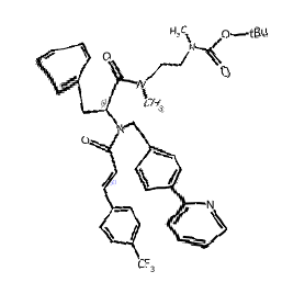 CN(CCN(C)C(=O)[C@H](Cc1ccccc1)N(Cc1ccc(-c2ccccn2)cc1)C(=O)/C=C/c1ccc(C(F)(F)F)cc1)C(=O)OC(C)(C)C